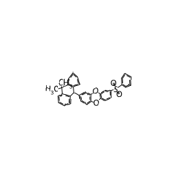 CC1(C)c2ccccc2C(c2ccc3c(c2)Oc2cc(S(=O)(=O)c4ccccc4)ccc2O3)c2ccccc21